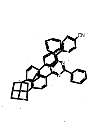 N#Cc1ccc(-c2ccc(-c3ccc(C45CC6CC7CC(c8ccc(-c9nc(-c%10ccccc%10)nc(-c%10ccccc%10)n9)cc8)(C4)C675)cc3)cc2)cc1